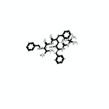 CC(C)[C@@H](NCc1ccccc1)C(=O)NC(=O)C(Cc1ccccc1)C[C@H](O)[C@H](Cc1ccccc1)NC(=O)OC(C)(C)C